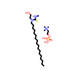 CCCCCCCCCCCCCCCCCCN(CCO)C(=S)NC.C[N+](C)(C)CCOP(=O)(O)O